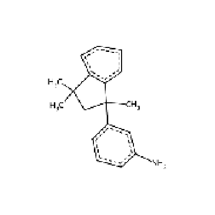 CC1(C)CC(C)(c2cccc(N)c2)c2ccccc21